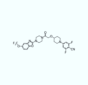 N#Cc1c(F)cc(N2CCC(OCC(=O)N3CCN(c4nc5cc(OC(F)(F)F)ccc5o4)CC3)CC2)cc1F